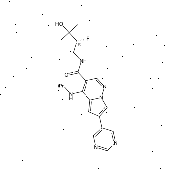 CC(C)Nc1c(C(=O)NC[C@@H](F)C(C)(C)O)cnn2cc(-c3cncnc3)cc12